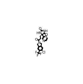 O=C1NC(=O)[C@](CCC(=O)N2Cc3cc(Cl)c(C(F)(F)F)cc3C2)(c2cnccn2)N1